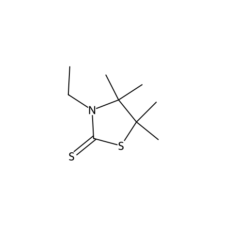 CCN1C(=S)SC(C)(C)C1(C)C